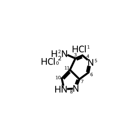 Cl.Cl.Nc1cncc2n[nH]cc12